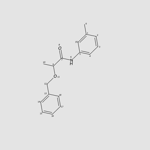 Cc1cccc(NC(=O)C(C)OCc2ccccc2)c1